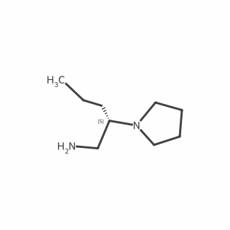 CCC[C@@H](CN)N1CCCC1